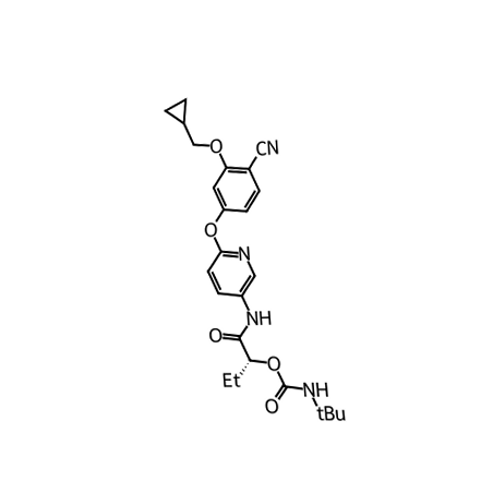 CC[C@@H](OC(=O)NC(C)(C)C)C(=O)Nc1ccc(Oc2ccc(C#N)c(OCC3CC3)c2)nc1